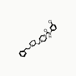 O=C(Nc1cccc(Cl)c1)N1CCN(C[C@@H]2CCCN(CCc3ccccc3)C2)CC1